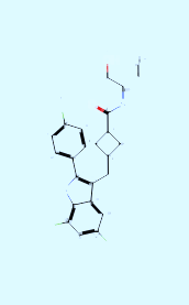 CC(C)C[C@@H](CO)NC(=O)C1CC(Cc2c(-c3ccc(F)cc3)[nH]c3c(F)cc(F)cc23)C1